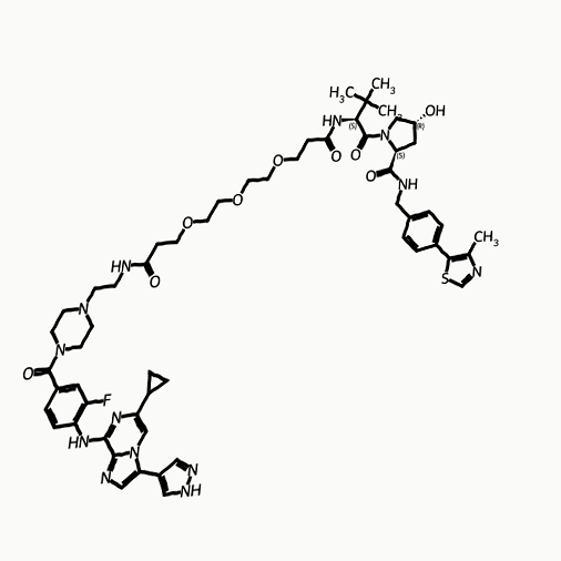 Cc1ncsc1-c1ccc(CNC(=O)[C@@H]2C[C@@H](O)CN2C(=O)[C@@H](NC(=O)CCOCCOCCOCCC(=O)NCCN2CCN(C(=O)c3ccc(Nc4nc(C5CC5)cn5c(-c6cn[nH]c6)cnc45)c(F)c3)CC2)C(C)(C)C)cc1